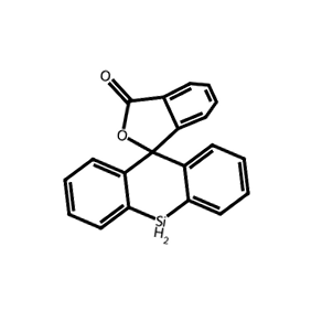 O=C1OC2(c3ccccc3[SiH2]c3ccccc32)c2ccccc21